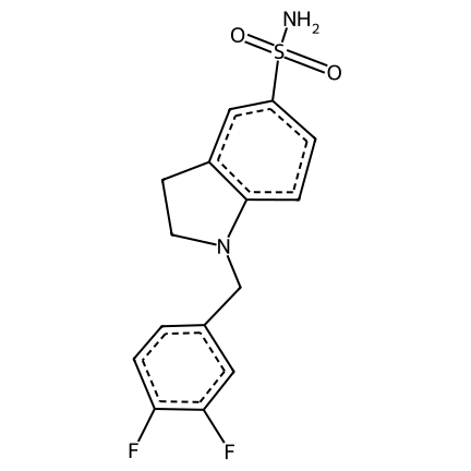 NS(=O)(=O)c1ccc2c(c1)CCN2Cc1ccc(F)c(F)c1